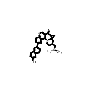 CN(C)CC1CCN(c2c(C(=O)C3CC3)cnc3ccc(-c4ccc5cc(O)ccc5c4)cc23)CC1